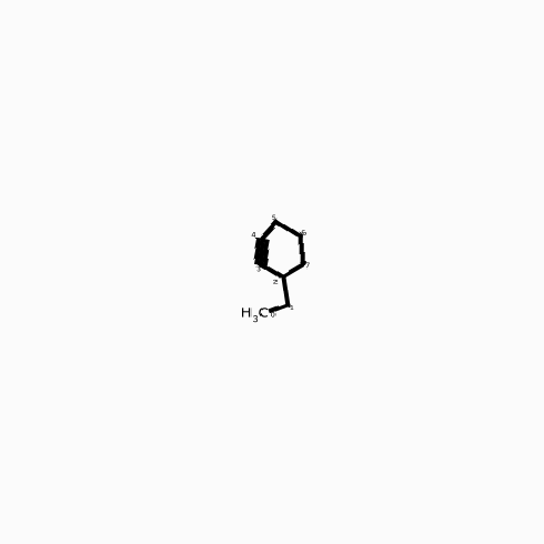 CC[C]1C#CCCC1